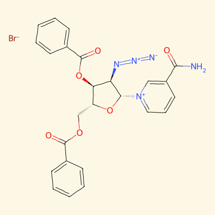 [Br-].[N-]=[N+]=N[C@@H]1[C@H](OC(=O)c2ccccc2)[C@@H](COC(=O)c2ccccc2)O[C@H]1[n+]1cccc(C(N)=O)c1